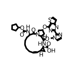 Cn1ccnc1-c1nc(O[C@@H]2C[C@H]3C(=O)N[C@]4(C(=O)O)C[C@H]4/C=C\CCCCCC(NC(=O)OC4CCCC4)C(=O)N3C2)c2sccc2n1